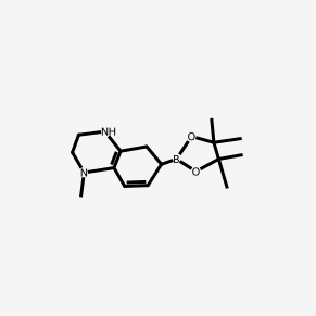 CN1CCNC2=C1C=CC(B1OC(C)(C)C(C)(C)O1)C2